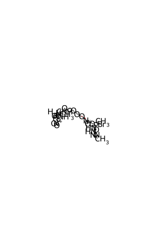 Cc1cnc(NC(=O)Nc2cc(Br)c(C)cc2OC[C@@H]2CN(CCOCCOCCOc3ccc(C(=O)NCC(C)(C)C4Nc5ccc([N+](=O)[O-])cc5[C@H]5OCC[C@@H]45)cc3)CCO2)cn1